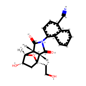 C[C@]12O[C@](CCO)(C[C@@H]1O)[C@H]1C(=O)N(c3ccc(C#N)c4ccccc34)C(=O)[C@H]12